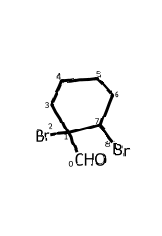 O=CC1(Br)CCCCC1Br